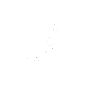 Cc1cnc2cccc(OCc3c(Cl)ccc(S(=O)(=O)N4CCCC4C(=O)N4CCN(C(=O)c5ccc(C#N)cc5)CC4)c3Cl)c2n1